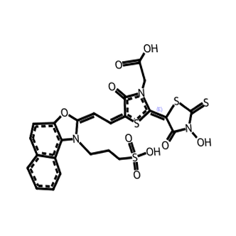 O=C(O)Cn1c(=O)c(=CC=C2Oc3ccc4ccccc4c3N2CCCS(=O)(=O)O)s/c1=C1/SC(=S)N(O)C1=O